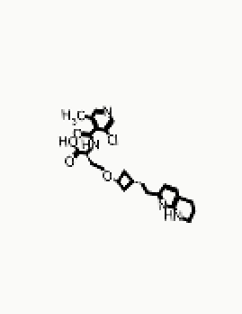 Cc1cncc(Cl)c1C(=O)N[C@@H](CCO[C@H]1C[C@@H](CCc2ccc3c(n2)NCCC3)C1)C(=O)O